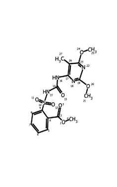 COC(=O)c1ccccc1S(=O)(=O)NC(=O)Nc1nc(OC)nc(OC)c1C